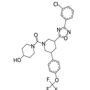 O=C(N1CCC(O)CC1)N1CC(c2ccc(OC(F)(F)F)cc2)CC(c2nc(-c3cccc(Cl)c3)no2)C1